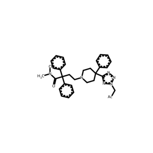 CC(=O)Cn1nnc(C2(c3ccccc3)CCN(CCC(C(=O)N(C)C)(c3ccccc3)c3ccccc3)CC2)n1